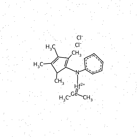 CC1=C(C)C(C)C([N]([Hf+2]=[Ge]([CH3])[CH3])c2ccccc2)=C1C.[Cl-].[Cl-]